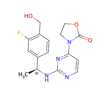 C[C@H](Nc1nccc(N2CCOC2=O)n1)c1ccc(CO)c(F)c1